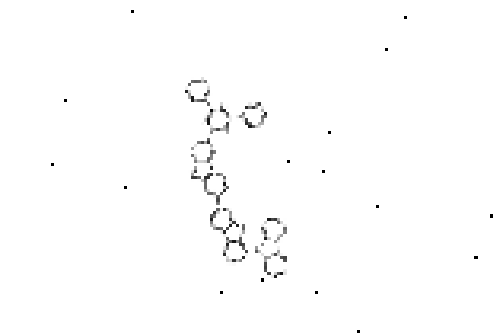 c1ccc(-c2nc(-c3ccccc3)nc(-c3ccc4oc5cc(-c6ccc7c(c6)sc6c(-n8c9ccccc9c9ccccc98)cccc67)ccc5c4c3)n2)cc1